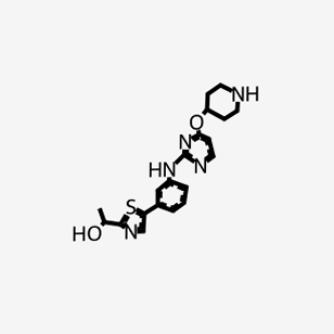 CC(O)c1ncc(-c2cccc(Nc3nccc(OC4CCNCC4)n3)c2)s1